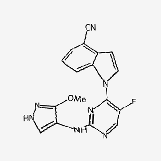 COc1n[nH]cc1Nc1ncc(F)c(-n2ccc3c(C#N)cccc32)n1